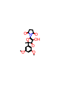 COc1cc(OC)cc(C2(C)OC(N3C(=O)CCC3=O)=C(O)C2=O)c1